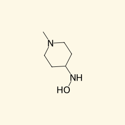 CN1CCC(NO)CC1